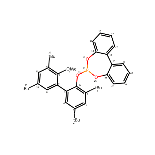 COc1c(-c2cc(C(C)(C)C)cc(C(C)(C)C)c2Op2oc3ccccc3c3ccccc3o2)cc(C(C)(C)C)cc1C(C)(C)C